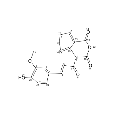 COc1cc(/C=C/C(=O)n2c(=O)oc(=O)c3cccnc32)ccc1O